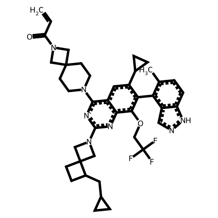 C=CC(=O)N1CC2(CCN(c3nc(N4CC5(CCC5CC5CC5)C4)nc4c(OCC(F)(F)F)c(-c5c(C)ccc6[nH]ncc56)c(C5CC5)cc34)CC2)C1